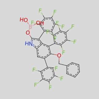 OB(O)Oc1[nH]c2cc(-c3c(F)c(F)c(F)c(F)c3F)c(OCc3ccccc3)c(-c3c(F)c(F)c(F)c(F)c3F)c2c1-c1c(F)c(F)c(F)c(F)c1F